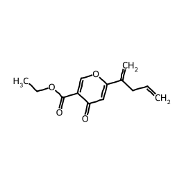 C=CCC(=C)c1cc(=O)c(C(=O)OCC)co1